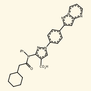 CC(C)N(C(=O)CC1CCCCC1)c1nn(-c2ccc(-c3cc4ncccn4n3)cc2)cc1C(=O)O